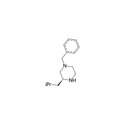 CC(C)C[C@H]1CN(Cc2ccccc2)CCN1